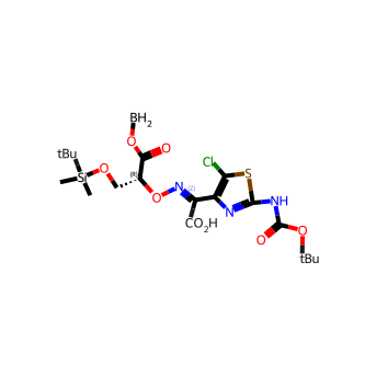 BOC(=O)[C@@H](CO[Si](C)(C)C(C)(C)C)O/N=C(\C(=O)O)c1nc(NC(=O)OC(C)(C)C)sc1Cl